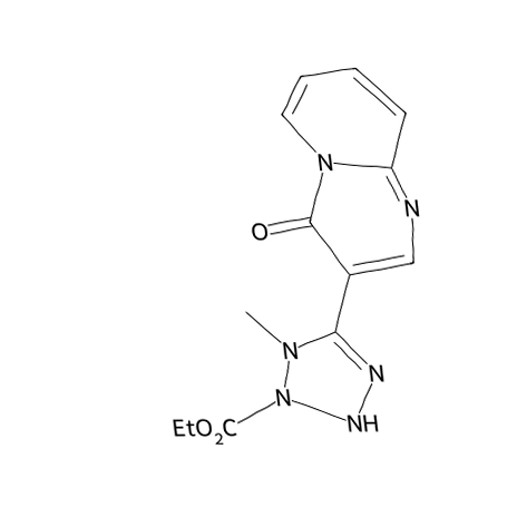 CCOC(=O)N1NN=C(c2cnc3ccccn3c2=O)N1C